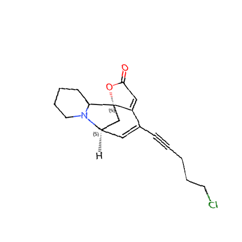 O=C1C=C2C(C#CCCCCl)=C[C@@H]3C[C@@]2(O1)C1CCCCN13